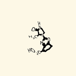 CC1C(=O)NCCN1c1nc2c(C(=O)O)cccc2o1